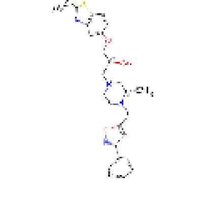 Cc1nc2cc(OC[C@@H](O)CN3CCN(Cc4cc(-c5ccccc5)no4)[C@@H](C)C3)ccc2s1